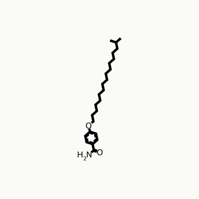 CC(C)CCCCCCCCCCCCCCCOc1ccc(C(N)=O)cc1